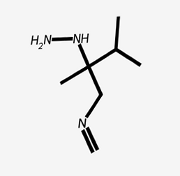 C=NCC(C)(NN)C(C)C